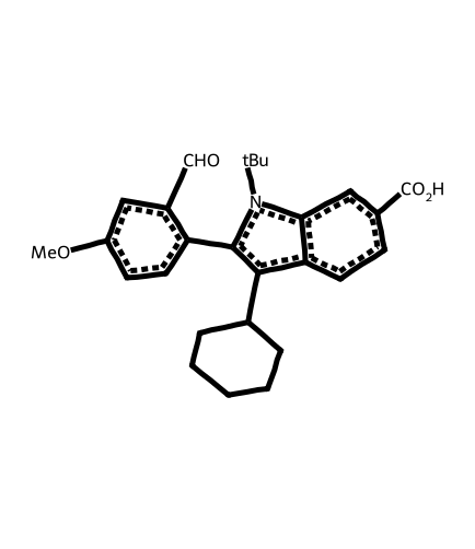 COc1ccc(-c2c(C3CCCCC3)c3ccc(C(=O)O)cc3n2C(C)(C)C)c(C=O)c1